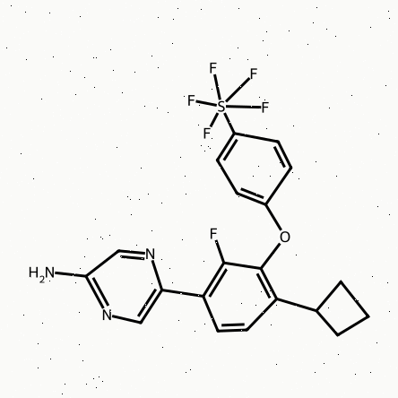 Nc1cnc(-c2ccc(C3CCC3)c(Oc3ccc(S(F)(F)(F)(F)F)cc3)c2F)cn1